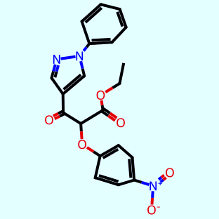 CCOC(=O)C(Oc1ccc([N+](=O)[O-])cc1)C(=O)c1cnn(-c2ccccc2)c1